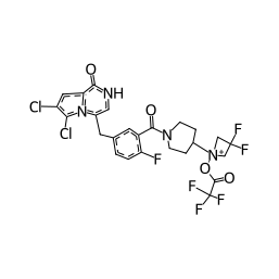 O=C(c1cc(Cc2c[nH]c(=O)c3cc(Cl)c(Cl)n23)ccc1F)N1CCC([N+]2(OC(=O)C(F)(F)F)CC(F)(F)C2)CC1